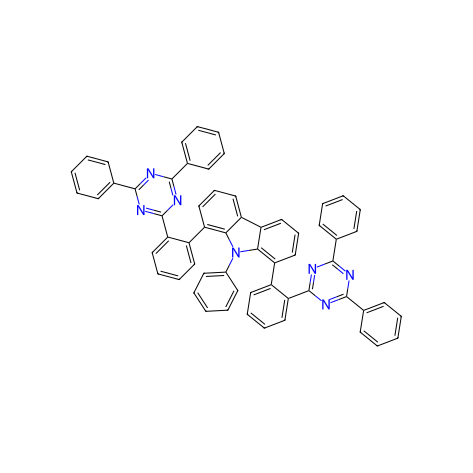 c1ccc(-c2nc(-c3ccccc3)nc(-c3ccccc3-c3cccc4c5cccc(-c6ccccc6-c6nc(-c7ccccc7)nc(-c7ccccc7)n6)c5n(-c5ccccc5)c34)n2)cc1